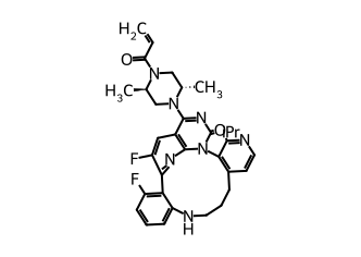 C=CC(=O)N1C[C@H](C)N(c2nc(=O)n3c4nc(c(F)cc24)-c2c(F)cccc2NCCCc2ccnc(C(C)C)c2-3)C[C@H]1C